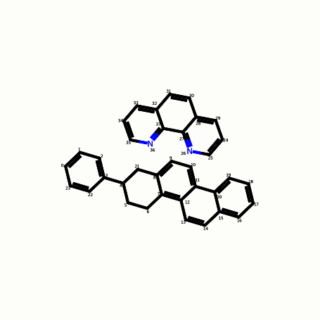 c1ccc(C2CCc3c(ccc4c3ccc3ccccc34)C2)cc1.c1cnc2c(c1)ccc1cccnc12